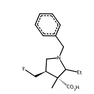 CCC1N(Cc2ccccc2)C[C@H](CF)[C@@]1(C)C(=O)O